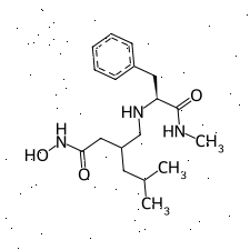 CNC(=O)[C@H](Cc1ccccc1)NCC(CC(=O)NO)CC(C)C